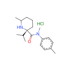 Cc1ccc(N(C)C(=O)[C@@]2(C(C)C)CCCC(C)N2)cc1.Cl